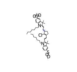 CCCCCCCN1C(=C/C=C2\CCC(C=CC3=[N+](CCCCCCC)c4ccc(SOOC)cc4C3(C)C)=C2Cl)C(C)(C)c2cc(S(C)(=O)=O)ccc21